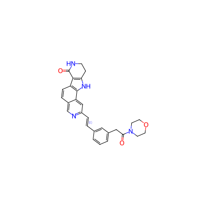 O=C1NCCc2[nH]c3c(ccc4cnc(/C=C/c5cccc(CC(=O)N6CCOCC6)c5)cc43)c21